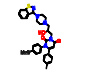 CSc1ccc(-n2c(-c3ccc(C)cc3)cc(=O)n(CC(O)CN3CCN(c4nsc5ccccc45)CC3)c2=O)cc1